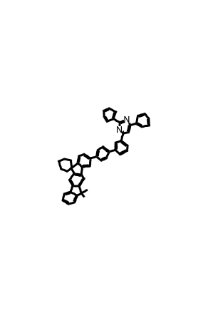 CC1(C)c2ccccc2-c2cc3c(cc21)-c1cc(-c2ccc(-c4cccc(-c5cc(-c6ccccc6)nc(-c6ccccc6)n5)c4)cc2)ccc1C31CCCCC1